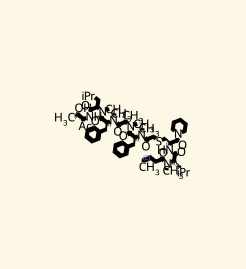 C/C=C\CC(=O)N(C)[C@@H](CC(C)C)C(=O)N[C@@H](CSCC(=O)N(C)[C@@H](Cc1ccccc1)C(=O)N(C)C(C)C(=O)N(C)[C@@H](Cc1ccccc1)C(=O)N(C)C(CC(C)C)C(=O)NC(C(C)=O)[C@@H](C)O)C(=O)N1CCCCC1